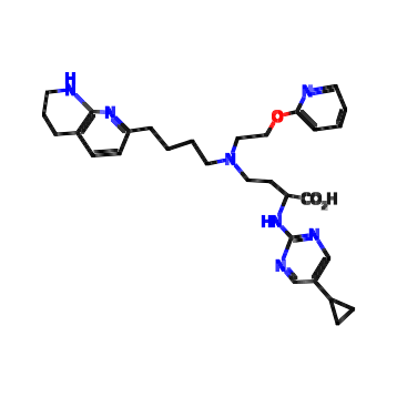 O=C(O)C(CCN(CCCCc1ccc2c(n1)NCCC2)CCOc1ccccn1)Nc1ncc(C2CC2)cn1